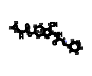 N#Cc1c(NC(=O)/C=C/c2cccnc2)sc2c1CCC(OC(=O)NC1CC1)C2